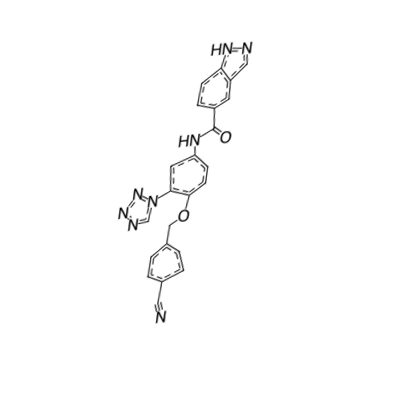 N#Cc1ccc(COc2ccc(NC(=O)c3ccc4[nH]ncc4c3)cc2-n2cnnn2)cc1